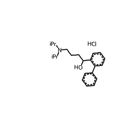 CC(C)N(CCCC(O)c1ccccc1-c1ccccc1)C(C)C.Cl